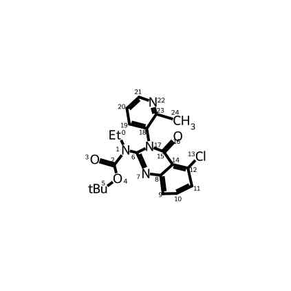 CCN(C(=O)OC(C)(C)C)c1nc2cccc(Cl)c2c(=O)n1-c1cccnc1C